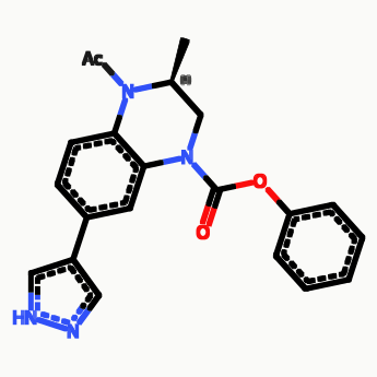 CC(=O)N1c2ccc(-c3cn[nH]c3)cc2N(C(=O)Oc2ccccc2)C[C@@H]1C